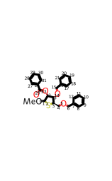 COC1S[C@H](COCc2ccccc2)[C@@H](OCc2ccccc2)[C@@H]1OC(=O)c1ccccc1